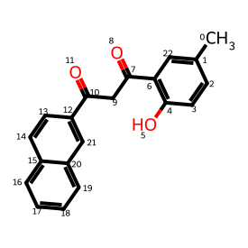 Cc1ccc(O)c(C(=O)CC(=O)c2ccc3ccccc3c2)c1